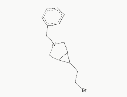 BrCCC1C2CN(Cc3ccccc3)CC12